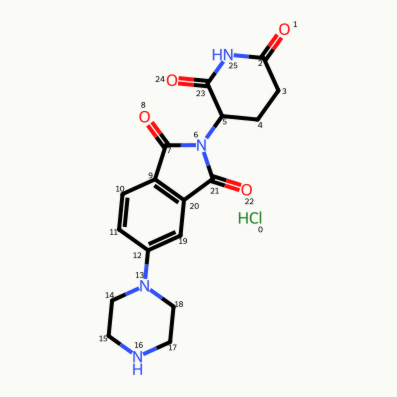 Cl.O=C1CCC(N2C(=O)c3ccc(N4CCNCC4)cc3C2=O)C(=O)N1